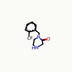 O=C1CNCCN1Cc1ccccc1C(F)(F)F